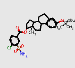 CC(C)(C)[Si](C)(C)Oc1ccc2c(c1)CCC1C2CC[C@@]2(C)C1CC[C@@H]2OC(=O)c1ccc(Cl)c(S(N)(=O)=O)c1